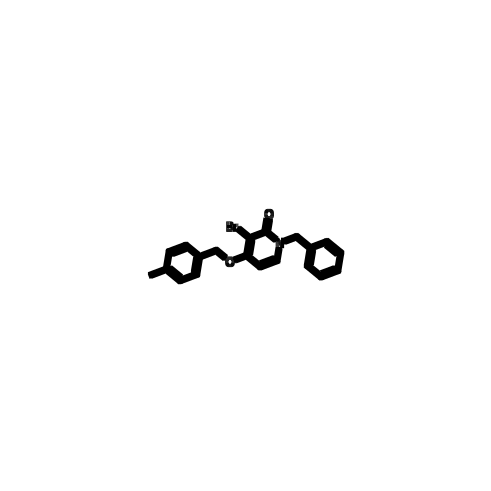 Cc1ccc(COc2ccn(Cc3ccccc3)c(=O)c2Br)cc1